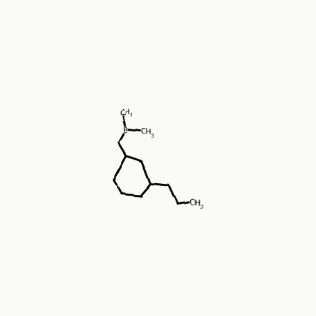 CCCC1CCCC(CB(C)C)C1